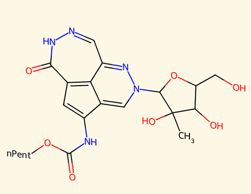 CCCCCOC(=O)Nc1cc2c(=O)[nH]ncc3nn(C4OC(CO)C(O)C4(C)O)cc1c32